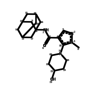 Cn1ncc(C(=O)NC23CC4CC(CC(C4)C2)C3)c1N1CCC(O)CC1